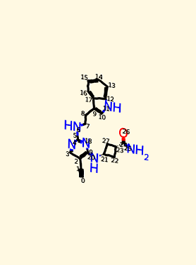 C#Cc1cnc(NCCc2c[nH]c3ccccc23)nc1N[C@H]1C[C@@H](C(N)=O)C1